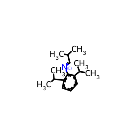 CC(C)/C=N/c1c(C(C)C)cccc1C(C)C